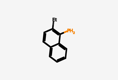 CCc1ccc2ccccc2c1P